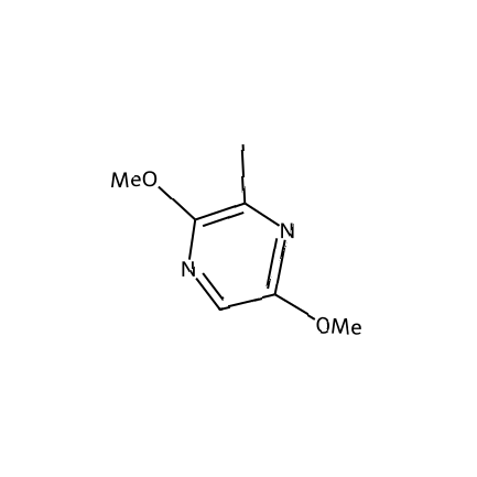 COc1cnc(OC)c(C)n1